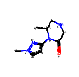 C[C@H]1CNCC(=O)N1c1ccn(C)n1